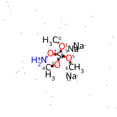 CO[Si](OC)(OC)ON.[Na].[Na].[Na]